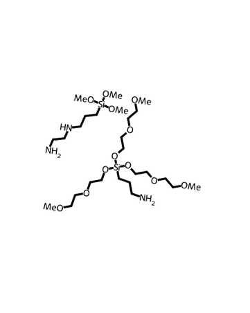 COCCOCCO[Si](CCCN)(OCCOCCOC)OCCOCCOC.CO[Si](CCCNCCN)(OC)OC